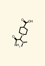 CN(C)C(C(N)=O)N1CCC(C(=O)O)CC1